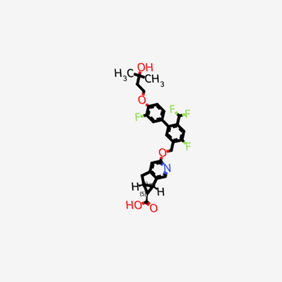 CC(C)(O)CCOc1ccc(-c2cc(COc3cc4c(cn3)[C@H]3[C@@H](C4)[C@@H]3C(=O)O)c(F)cc2C(F)F)cc1F